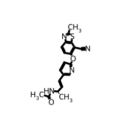 CC(=O)N[C@@H](C)/C=C/c1ccc(Oc2ccc3nc(C)sc3c2C#N)nc1